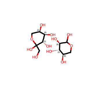 OC1OC[C@@H](O)[C@H](O)[C@H]1O.OCC1(O)OC[C@@H](O)[C@@H](O)[C@@H]1O